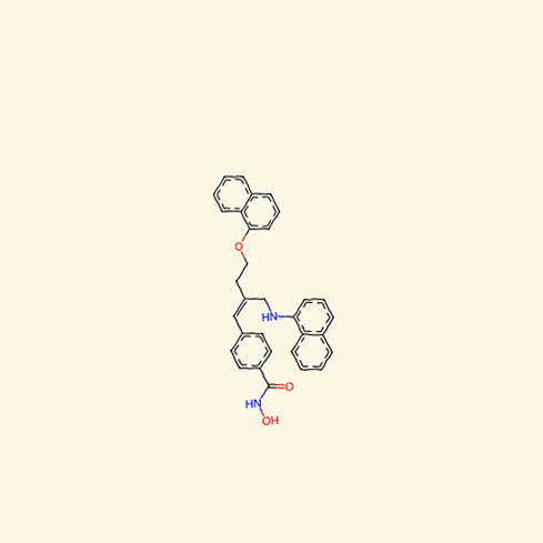 O=C(NO)c1ccc(C=C(CCOc2cccc3ccccc23)CNc2cccc3ccccc23)cc1